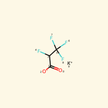 O=C([O-])C(F)C(F)(F)F.[K+]